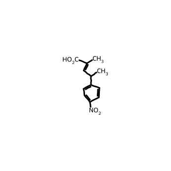 CC(=CC(C)c1ccc([N+](=O)[O-])cc1)C(=O)O